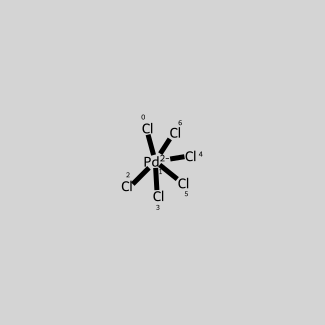 [Cl][Pd-2]([Cl])([Cl])([Cl])([Cl])[Cl]